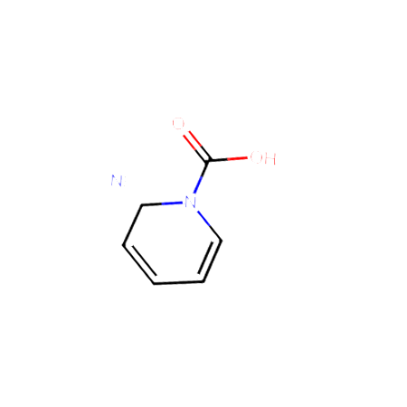 O=C(O)N1C=CC=CC1.[N]